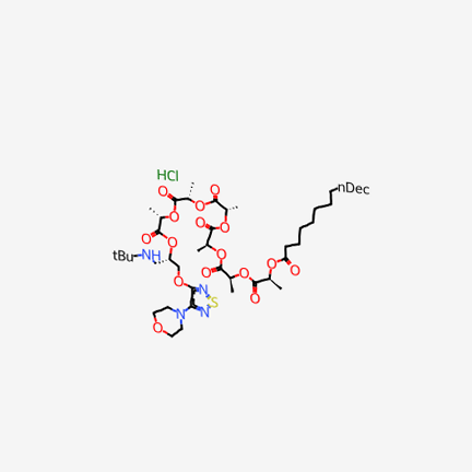 CCCCCCCCCCCCCCCCCC(=O)O[C@@H](C)C(=O)O[C@@H](C)C(=O)O[C@@H](C)C(=O)O[C@@H](C)C(=O)O[C@@H](C)C(=O)O[C@@H](C)C(=O)O[C@@H](CNC(C)(C)C)COc1nsnc1N1CCOCC1.Cl